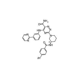 CC(C)c1ccc(C(=O)N[C@@H]2CCCN(c3nnc(C(N)=O)c(Nc4cccc(-c5ncccn5)c4)n3)C2)cc1